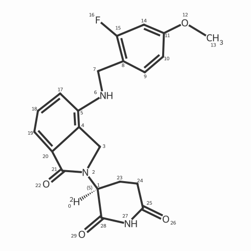 [2H][C@]1(N2Cc3c(NCc4ccc(OC)cc4F)cccc3C2=O)CCC(=O)NC1=O